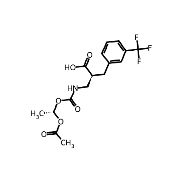 CC(=O)O[C@H](C)OC(=O)NC[C@H](Cc1cccc(C(F)(F)F)c1)C(=O)O